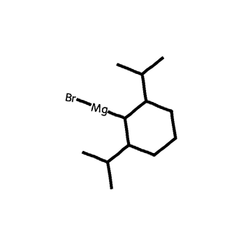 CC(C)C1CCCC(C(C)C)[CH]1[Mg][Br]